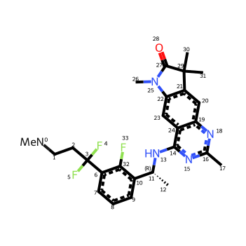 CNCCC(F)(F)c1cccc([C@@H](C)Nc2nc(C)nc3cc4c(cc23)N(C)C(=O)C4(C)C)c1F